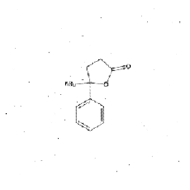 CCCCC1(c2ccccc2)CCC(=O)O1